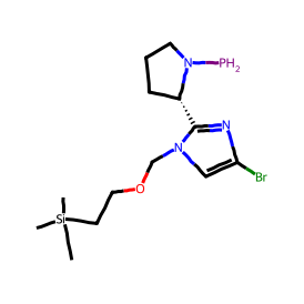 C[Si](C)(C)CCOCn1cc(Br)nc1[C@@H]1CCCN1P